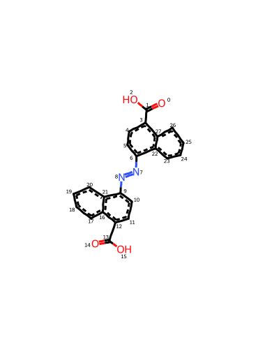 O=C(O)c1ccc(N=Nc2ccc(C(=O)O)c3ccccc23)c2ccccc12